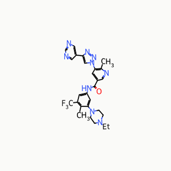 CCN1CCN(c2cc(NC(=O)c3cnc(C)c(-n4cc(-c5cncnc5)nn4)c3)cc(C(F)(F)F)c2C)CC1